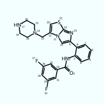 O=C(Nc1ccccc1-c1cn2c(CN3CCNCC3)csc2n1)c1cc(F)cc(F)c1